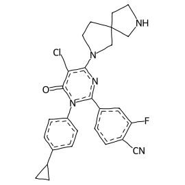 N#Cc1ccc(-c2nc(N3CCC4(CCNC4)C3)c(Cl)c(=O)n2-c2ccc(C3CC3)cc2)cc1F